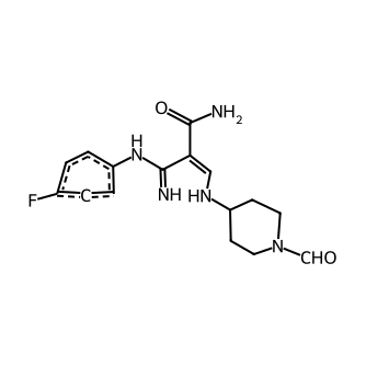 N=C(Nc1ccc(F)cc1)/C(=C\NC1CCN(C=O)CC1)C(N)=O